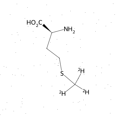 [2H]C([2H])([2H])SCC[C@H](N)C(=O)O